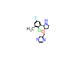 Cc1cc(F)cc([C@H]2NCC[C@H]2OCc2cnccn2)c1Cl